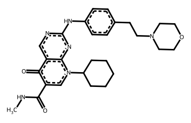 CNC(=O)c1cn(C2CCCCC2)c2nc(Nc3ccc(CCN4CCOCC4)cc3)ncc2c1=O